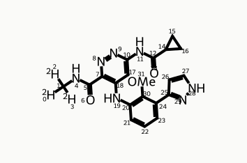 [2H]C([2H])([2H])NC(=O)c1nnc(NC(=O)C2CC2)cc1Nc1cccc(-c2cc[nH]n2)c1OC